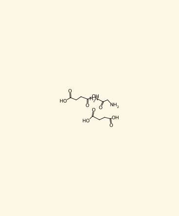 NCC(N)=O.O=C(O)CCC(=O)O.O=C(O)CCC(=O)O